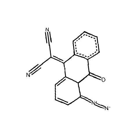 N#CC(C#N)=C1C2=CC=CC(=[N+]=[N-])C2C(=O)c2ccccc21